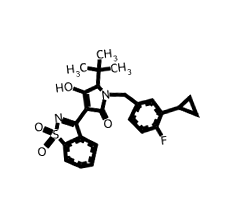 CC(C)(C)C1C(O)=C(C2=NS(=O)(=O)c3ccccc32)C(=O)N1Cc1ccc(F)c(C2CC2)c1